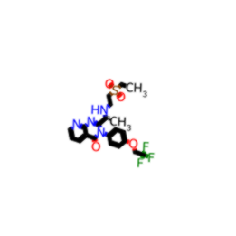 CCS(=O)(=O)CCN[C@H](C)c1nc2ncccc2c(=O)n1-c1ccc(OCC(F)(F)F)cc1